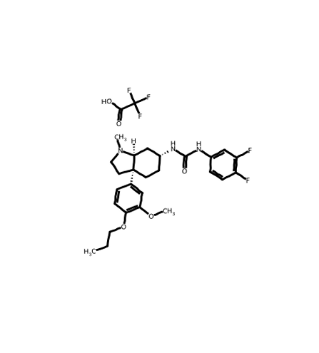 CCCOc1ccc([C@@]23CC[C@@H](NC(=O)Nc4ccc(F)c(F)c4)C[C@@H]2N(C)CC3)cc1OC.O=C(O)C(F)(F)F